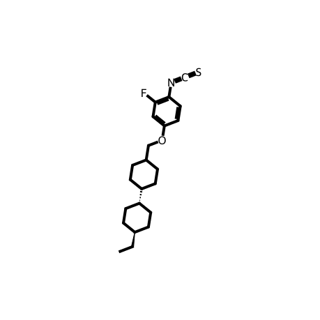 CC[C@H]1CC[C@H](C2CCC(COc3ccc(N=C=S)c(F)c3)CC2)CC1